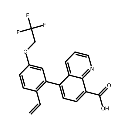 C=Cc1ccc(OCC(F)(F)F)cc1-c1ccc(C(=O)O)c2ncccc12